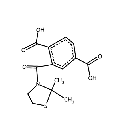 CC1(C)SCCN1C(=O)c1cc(C(=O)O)ccc1C(=O)O